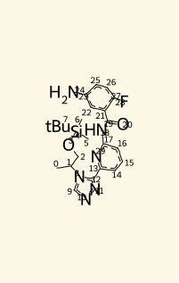 CC(CO[Si](C)(C)C(C)(C)C)n1cnnc1-c1cccc(NC(=O)c2cc(N)ccc2F)n1